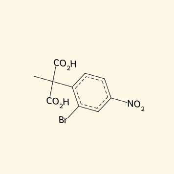 CC(C(=O)O)(C(=O)O)c1ccc([N+](=O)[O-])cc1Br